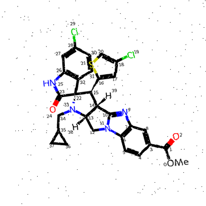 COC(=O)c1ccc2c(c1)nc1n2C[C@H]2[C@@H]1[C@H](c1cc(Cl)cs1)[C@]1(C(=O)Nc3cc(Cl)ccc31)N2CC1CC1